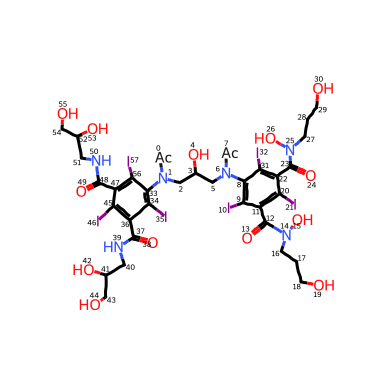 CC(=O)N(CC(O)CN(C(C)=O)c1c(I)c(C(=O)N(O)CCCO)c(I)c(C(=O)N(O)CCCO)c1I)c1c(I)c(C(=O)NCC(O)CO)c(I)c(C(=O)NCC(O)CO)c1I